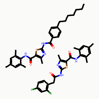 CCCCCCCc1ccc(C(=O)Nc2nc(C)c(C(=O)Nc3c(C)cc(C)cc3C)s2)cc1.Cc1cc(C)c(NC(=O)c2sc(NC(=O)Cc3ccc(F)cc3F)nc2C)c(C)c1